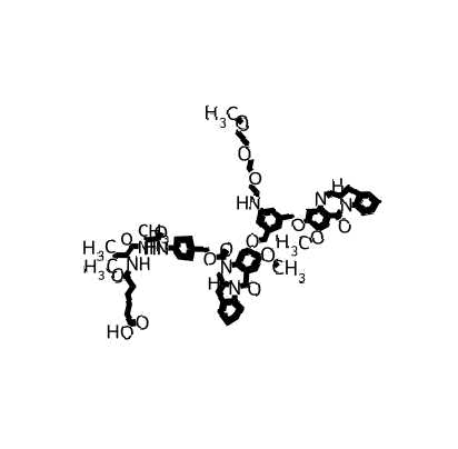 COCCOCCOCCNc1cc(COc2cc3c(cc2OC)C(=O)N2c4ccccc4C[C@H]2C=N3)cc(COc2cc3c(cc2OC)C(=O)N2c4ccccc4C[C@H]2CN3C(=O)OCc2ccc(NC(=O)[C@H](C)NC(=O)[C@@H](NC(=O)CCCCC(=O)O)C(C)C)cc2)c1